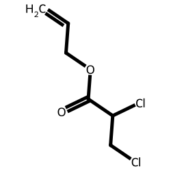 C=CCOC(=O)C(Cl)CCl